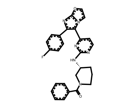 O=C(c1ccccc1)N1CCC[C@@H](Nc2nccc(-c3c(-c4ccc(F)cc4)nc4occn34)n2)C1